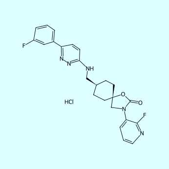 Cl.O=C1O[C@]2(CC[C@H](CNc3ccc(-c4cccc(F)c4)nn3)CC2)CN1c1cccnc1F